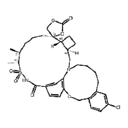 C[C@@H]1[C@@H](C)CCC[C@@]2(COC(=O)O2)[C@@H]2CC[C@H]2CN2CCCCc3cc(Cl)ccc3COc3ccc(cc32)C(=O)NS1(=O)=O